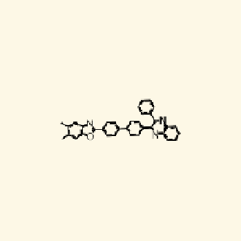 Cc1cc2nc(-c3ccc(-c4ccc(-c5nc6ccccc6nc5-c5ccccc5)cc4)cc3)oc2cc1C